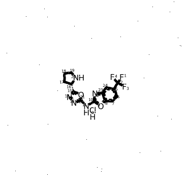 Cl.FC(F)(F)c1ccc2oc(Nc3nnc([C@@H]4CCCN4)o3)nc2c1